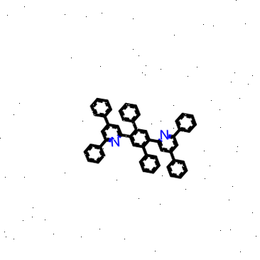 c1ccc(-c2cc(-c3ccccc3)nc(-c3cc(-c4ccccc4)c(-c4cc(-c5ccccc5)cc(-c5ccccc5)n4)cc3-c3ccccc3)c2)cc1